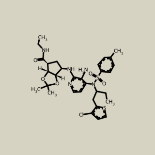 CCNC(=O)[C@H]1CC(Nc2nccc(N(C(CC)Cc3sccc3Cl)S(=O)(=O)c3ccc(C)cc3)c2N)[C@@H]2OC(C)(C)O[C@H]12